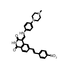 CN1CCN(c2ccc(NC=C3C(=O)NC(=O)c4ccc(C=Cc5ccc([N+](=O)[O-])cc5)cc43)cc2)CC1